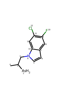 CC([AsH2])Cn1ccc2cc(F)c(Cl)cc21